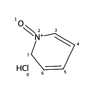 Cl.O=[N+]1C=CC=CC1